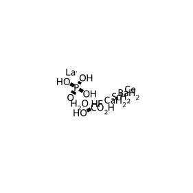 F.O.O=C(O)O.O=P(O)(O)O.[BaH2].[CaH2].[Ce].[La].[SrH2]